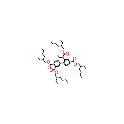 CCCCC(CC)COC(=O)c1ccc(-c2ccc(C(=O)OCC(CC)CCCC)c(C(=O)OCC(CC)CCCC)c2)c(C(CC)C(=O)OCC(CC)CCCC)c1